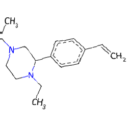 C=Cc1ccc(C2CN(CC)CCN2CC)cc1